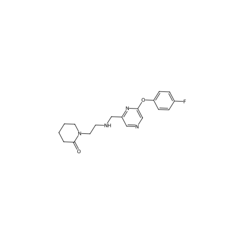 O=C1CCCCN1CCNCc1cncc(Oc2ccc(F)cc2)n1